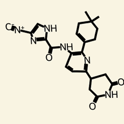 [C-]#[N+]c1c[nH]c(C(=O)Nc2ccc(C3CC(=O)NC(=O)C3)nc2C2=CCC(C)(C)CC2)n1